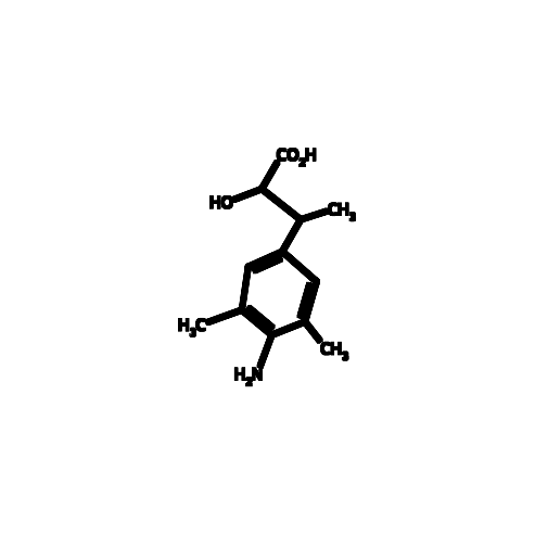 Cc1cc(C(C)C(O)C(=O)O)cc(C)c1N